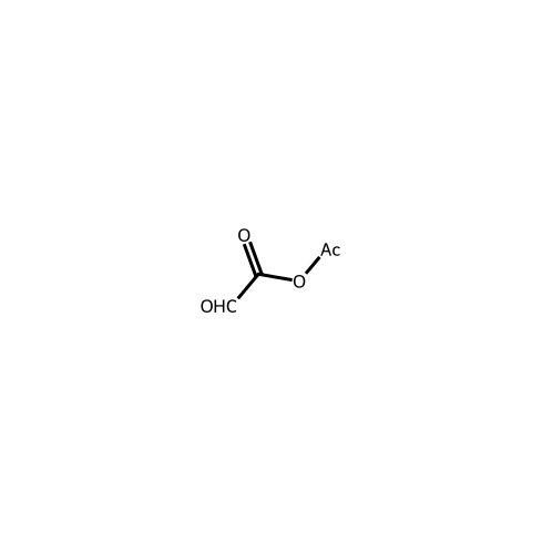 CC(=O)OC(=O)C=O